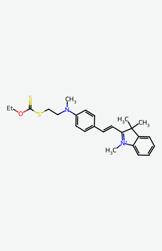 CCOC(=S)SCCN(C)c1ccc(/C=C/C2=[N+](C)c3ccccc3C2(C)C)cc1